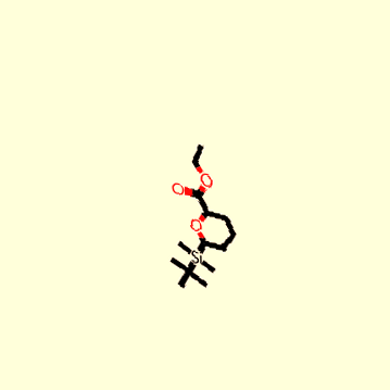 CCOC(=O)C1CCCC([Si](C)(C)C(C)(C)C)O1